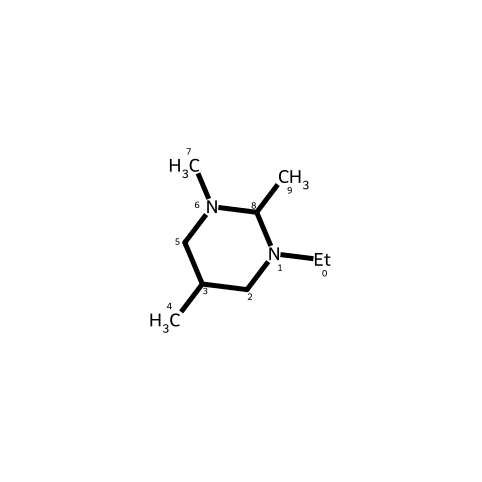 CCN1CC(C)CN(C)C1C